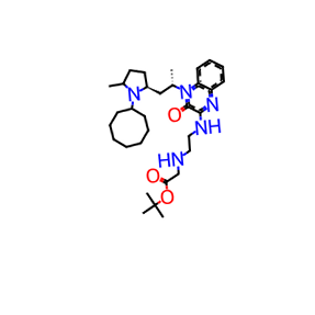 CC1CC[C@@H](C[C@H](C)n2c(=O)c(NCCNCC(=O)OC(C)(C)C)nc3ccccc32)N1C1CCCCCCC1